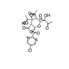 CC(=O)C(O)[C@H]1O[C@@H](S(=O)(=O)c2ncc(Cl)cn2)[C@@](O)(C(C)=O)[C@](O)(C(C)=O)[C@@]1(O)C(C)=O